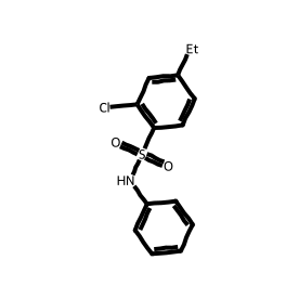 CCc1ccc(S(=O)(=O)Nc2ccccc2)c(Cl)c1